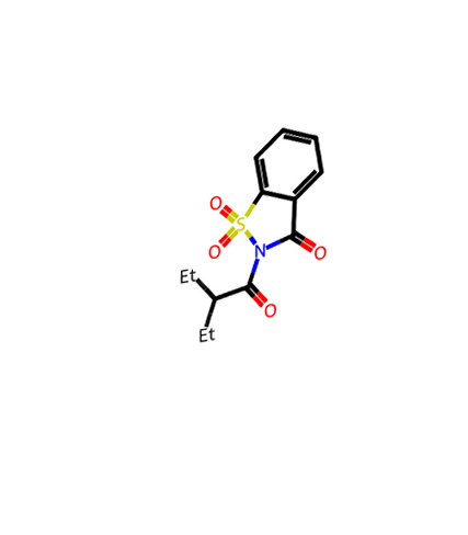 CCC(CC)C(=O)N1C(=O)c2ccccc2S1(=O)=O